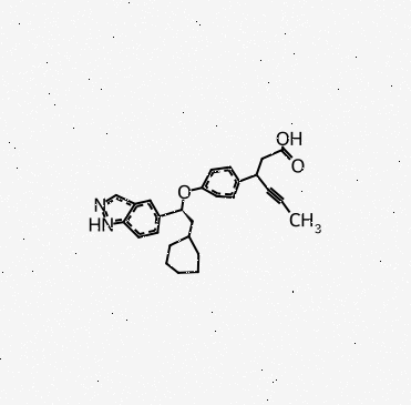 CC#CC(CC(=O)O)c1ccc(O[C@@H](CC2CCCCC2)c2ccc3[nH]ncc3c2)cc1